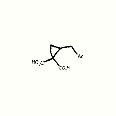 CC(=O)CC1CC1(C(=O)O)C(=O)O